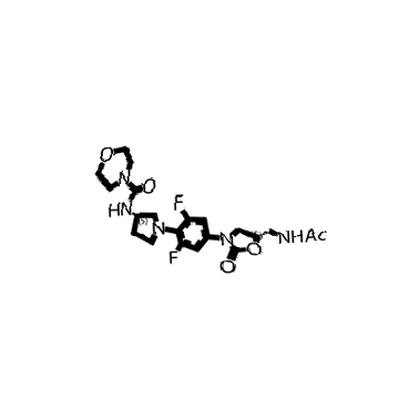 CC(=O)NC[C@H]1CN(c2cc(F)c(N3CC[C@H](NC(=O)N4CCOCC4)C3)c(F)c2)C(=O)O1